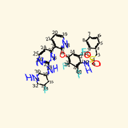 O=S(=O)(Cc1ccccc1)Nc1c(F)cc(Oc2ncccc2-c2ccnc(N[C@H]3CNC[C@H](F)C3)n2)c(F)c1F